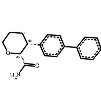 NC(=O)[C@@H]1OCC[C][C@@H]1c1ccc(-c2ccccc2)cc1